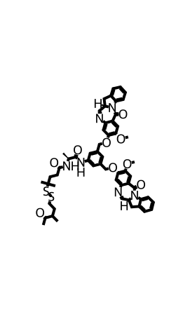 COc1cc2c(cc1OCc1cc(COc3cc4c(cc3OC)C(=O)N3c5ccccc5C[C@H]3C=N4)cc(NC(=O)[C@H](C)NC(=O)CCC(C)(C)SSCCC(C)C(C)=O)c1)N=C[C@@H]1Cc3ccccc3N1C2=O